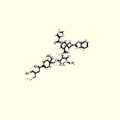 CCC(CC)CC(C)C1=CCC(CO)(CO[C@H](C)C(NC(=O)C2CN(C(=O)c3cncs3)CC23CN(c2nc4ccccc4o2)C3)C(=O)NC)CC1